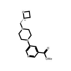 COC(=O)c1cncc(N2CCN(C[C@H]3CCO3)CC2)c1